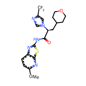 COc1ccc2nc(NC(=O)[C@H](CC3CCOCC3)n3cnc(C(F)(F)F)c3)sc2n1